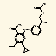 CCc1nc(C(N)=O)c(Nc2cccc(C(C)CNC(=O)O)c2)nc1C1CC1